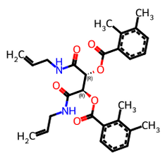 C=CCNC(=O)[C@H](OC(=O)c1cccc(C)c1C)[C@@H](OC(=O)c1cccc(C)c1C)C(=O)NCC=C